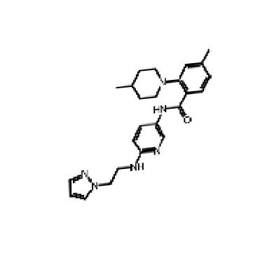 Cc1ccc(C(=O)Nc2ccc(NCCn3cccn3)nc2)c(N2CCC(C)CC2)c1